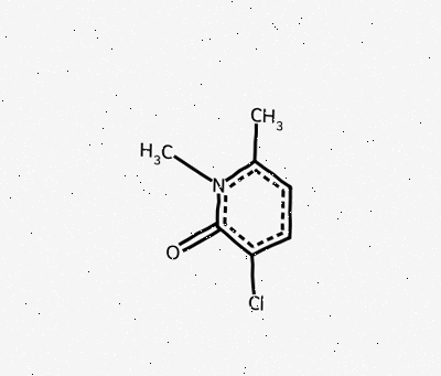 Cc1ccc(Cl)c(=O)n1C